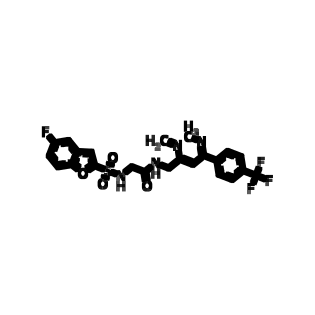 C=N/C(=C\C(=N/C)c1ccc(C(F)(F)F)cc1)CNC(=O)CNS(=O)(=O)c1cc2cc(F)ccc2o1